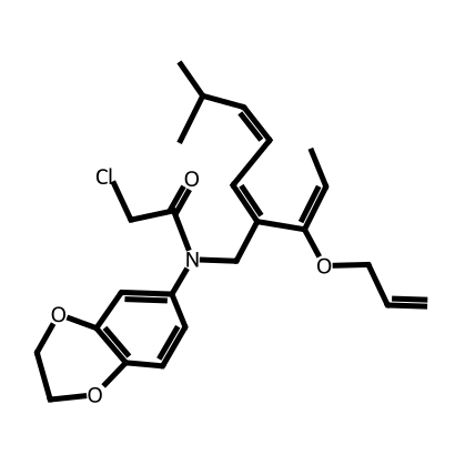 C=CCOC(=C/C)/C(=C\C=C/C(C)C)CN(C(=O)CCl)c1ccc2c(c1)OCCO2